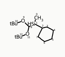 C[SiH](C1CCCCC1)C(OC(C)(C)C)OC(C)(C)C